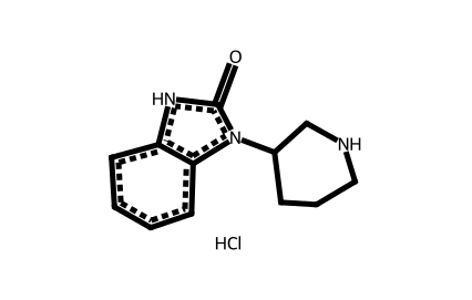 Cl.O=c1[nH]c2ccccc2n1C1CCCNC1